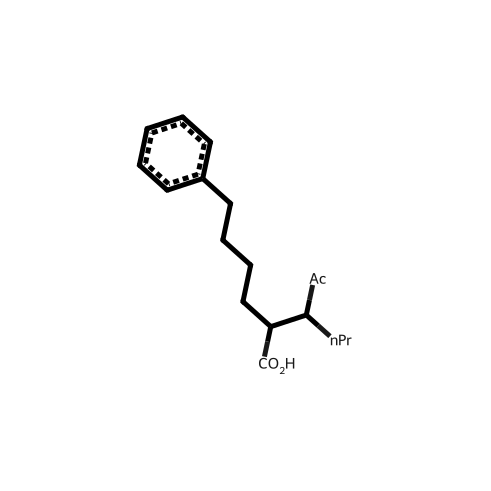 CCCC(C(C)=O)C(CCCCc1ccccc1)C(=O)O